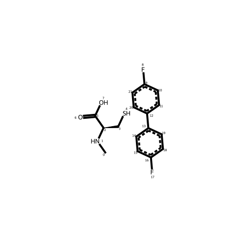 CN[C@H](CS)C(=O)O.Fc1ccc(-c2ccc(F)cc2)cc1